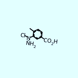 Cc1ccc(C(=O)O)cc1N(N)Cl